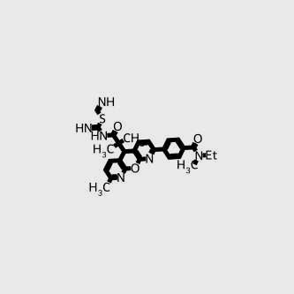 CCN(C)C(=O)c1ccc(-c2ccc3c(n2)Oc2nc(C)ccc2C3C(C)(C)C(=O)NC(=N)SC=N)cc1